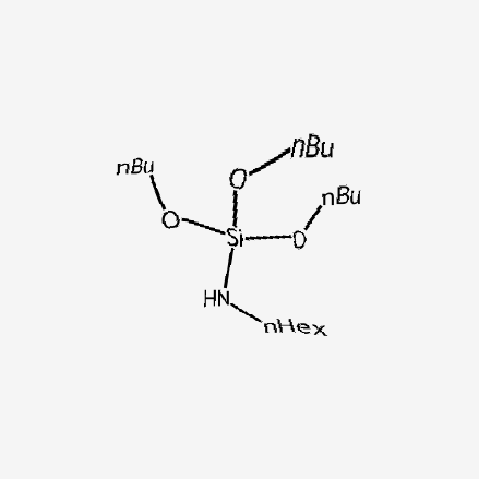 CCCCCCN[Si](OCCCC)(OCCCC)OCCCC